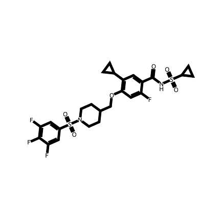 O=C(NS(=O)(=O)C1CC1)c1cc(C2CC2)c(OCC2CCN(S(=O)(=O)c3cc(F)c(F)c(F)c3)CC2)cc1F